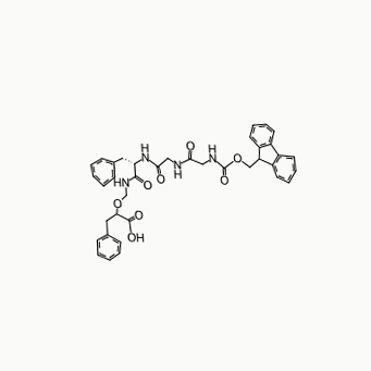 O=C(CNC(=O)OCC1c2ccccc2-c2ccccc21)NCC(=O)N[C@@H](Cc1ccccc1)C(=O)NCOC(Cc1ccccc1)C(=O)O